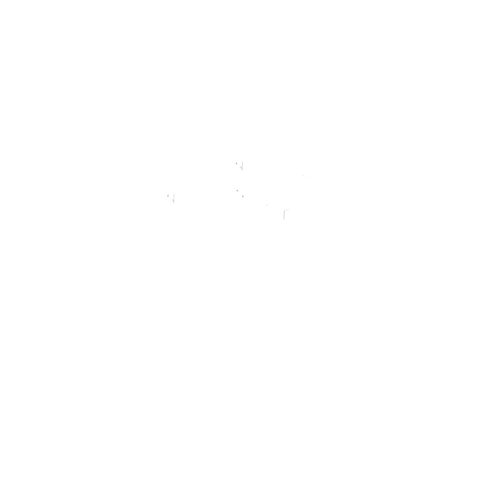 O=CC(F)(c1ccccc1)n1ncc2ncccc21